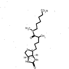 CC(CCC[C@@H]1SC[C@@H]2NC(=O)N[C@@H]21)C(=O)N(C)CCCCCC(=O)O